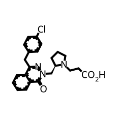 O=C(O)CCN1CCC[C@@H]1Cn1nc(Cc2ccc(Cl)cc2)c2ccccc2c1=O